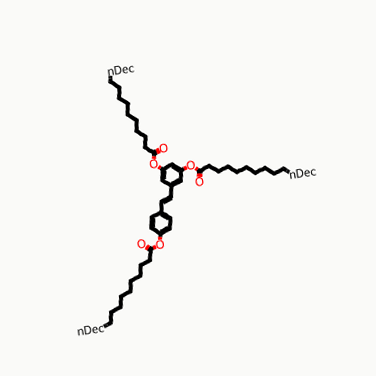 CCCCCCCCCCCCCCCCCCCC(=O)Oc1ccc(C=Cc2cc(OC(=O)CCCCCCCCCCCCCCCCCCC)cc(OC(=O)CCCCCCCCCCCCCCCCCCC)c2)cc1